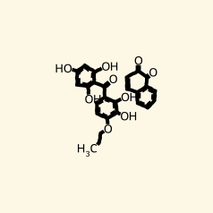 CCCOc1ccc(C(=O)c2c(O)cc(O)cc2O)c(O)c1O.O=C1C=Cc2ccccc2C1=O